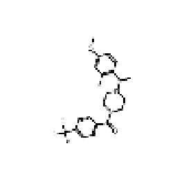 COc1ccc(C(C)N2CCN(C(=O)c3ccc(C(F)(F)F)cc3)CC2)c(C)c1